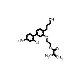 C=C(C)C(=O)OCCOc1cc(-c2ccc(CCC)cc2CC)ccc1CCCO